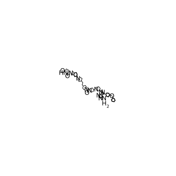 Nc1ncnc2c1c(-c1ccc(Oc3ccccc3)cc1)nn2[C@@H]1CCCN(C2CCN(C(=O)N3CCC(CCC4CCN(c5ccc6c(c5)CN(C5CCC(=O)NC5=O)C6)CC4)CC3)CC2)C1